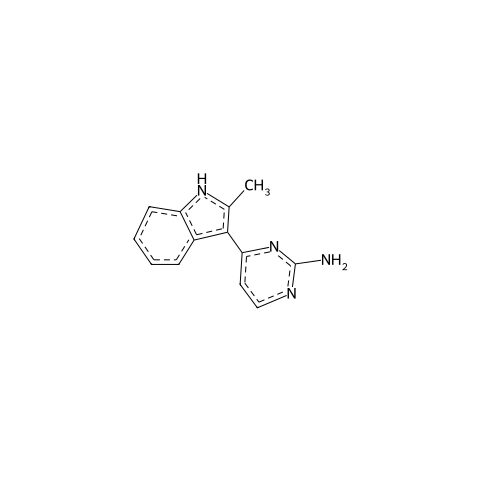 Cc1[nH]c2ccccc2c1-c1ccnc(N)n1